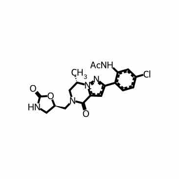 CC(=O)Nc1cc(Cl)ccc1-c1cc2n(n1)[C@@H](C)CN(C[C@H]1CNC(=O)O1)C2=O